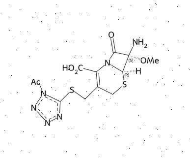 CO[C@@]1(N)C(=O)N2C(C(=O)O)=C(CSc3nnnn3C(C)=O)CS[C@@H]21